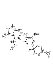 COc1cc(P2(=O)CCN(C3CC3)CC2)ccc1Nc1nc(NCC(C)C)c2c(C#N)c[nH]c2n1